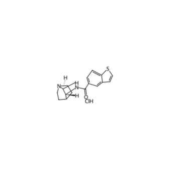 C[C@H]1[C@H](NC(=O)c2ccc3sccc3c2)C2CCN1CC2.Cl